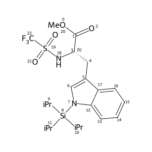 COC(=O)[C@H](Cc1cn([Si](C(C)C)(C(C)C)C(C)C)c2ccccc12)NS(=O)(=O)C(F)(F)F